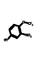 C[C](C)c1ccc(OC(F)(F)F)c([N+](=O)[O-])c1